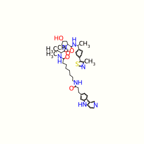 Cc1ncsc1-c1ccc([C@H](C)NC(=O)[C@@H]2C[C@@H](O)CN2C(=O)C(NC(=O)CCCCCCCNC(=O)CCc2ccc3c(c2)[nH]c2ccncc23)C(C)(C)C)cc1